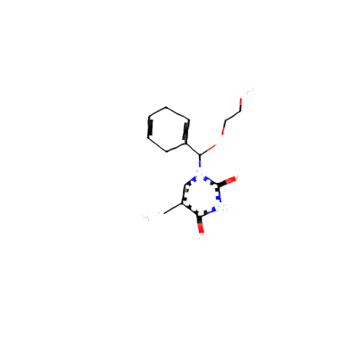 Cc1cn(C(OCCO)C2=CCC=CC2)c(=O)[nH]c1=O